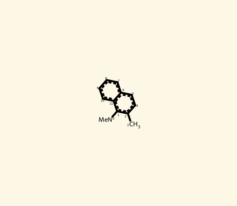 CNc1c(C)ccc2ccccc12